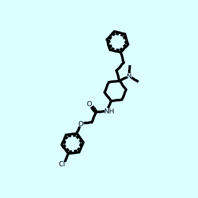 CN(C)C1(CCc2ccccc2)CCC(NC(=O)COc2ccc(Cl)cc2)CC1